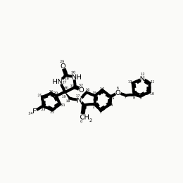 C=C1c2ccc(OCc3cccnc3)cc2CN1C[C@@]1(c2ccc(F)cc2)NC(=O)NC1=O